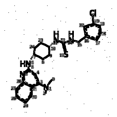 CN(C)c1cc(N[C@H]2CC[C@@H](NC(=S)NCc3cccc(Cl)c3)CC2)nc2ccccc12